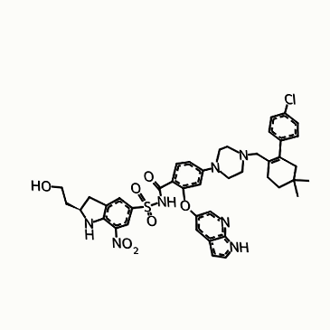 CC1(C)CCC(CN2CCN(c3ccc(C(=O)NS(=O)(=O)c4cc5c(c([N+](=O)[O-])c4)N[C@@H](CCO)C5)c(Oc4cnc5[nH]ccc5c4)c3)CC2)=C(c2ccc(Cl)cc2)C1